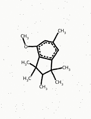 COc1cc(C)cc2c1C(C)(C)C(C)C2(C)C